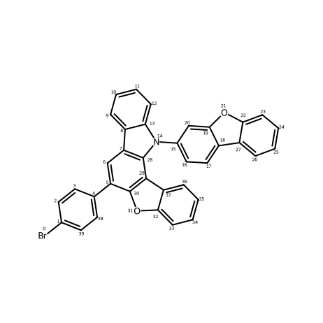 Brc1ccc(-c2cc3c4ccccc4n(-c4ccc5c(c4)oc4ccccc45)c3c3c2oc2ccccc23)cc1